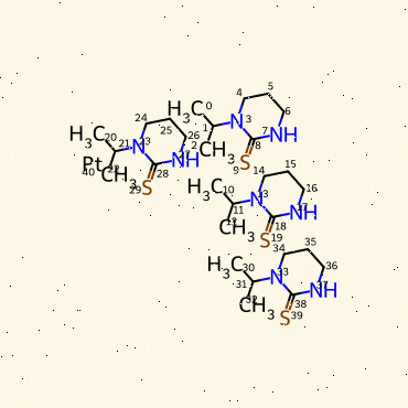 CC(C)N1CCCNC1=S.CC(C)N1CCCNC1=S.CC(C)N1CCCNC1=S.CC(C)N1CCCNC1=S.[Pt]